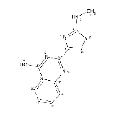 CNc1nc(-c2nc(O)c3ccccc3n2)cs1